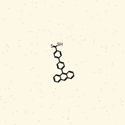 S=C(S)c1ccc(-c2ccc(-c3c4ccccc4cc4ccccc34)cc2)cc1